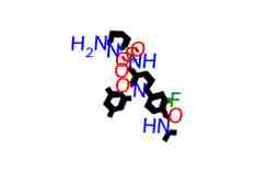 Cc1cc(C)c(Oc2nc(-c3ccc(C(=O)NC(C)C)c(F)c3)ccc2C(=O)NS(=O)(=O)c2cccc(N)n2)c(C)c1